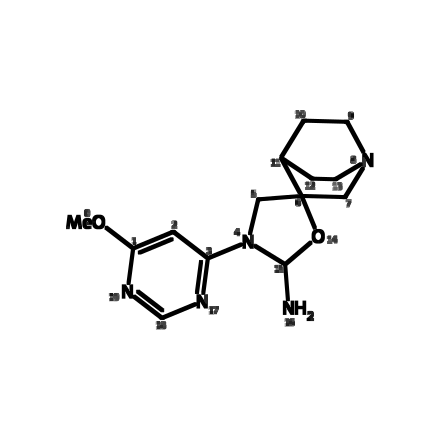 COc1cc(N2CC3(CN4CCC3CC4)OC2N)ncn1